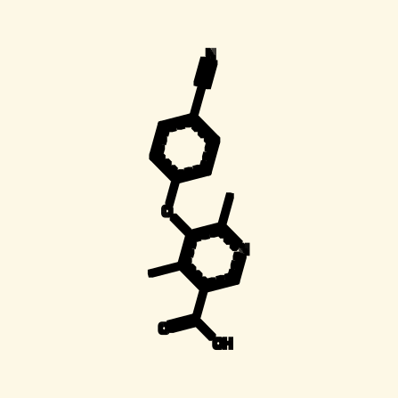 Cc1ncc(C(=O)O)c(C)c1Oc1ccc(C#N)cc1